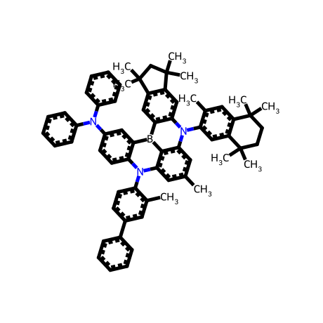 Cc1cc2c3c(c1)N(c1cc4c(cc1C)C(C)(C)CCC4(C)C)c1cc4c(cc1B3c1cc(N(c3ccccc3)c3ccccc3)ccc1N2c1ccc(-c2ccccc2)cc1C)C(C)(C)CC4(C)C